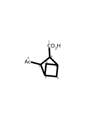 CC(=O)C1C2CC(C2)C1C(=O)O